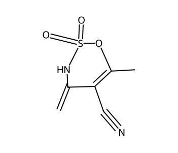 C=C1NS(=O)(=O)OC(C)=C1C#N